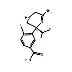 NC(=O)c1ccc(F)c([C@]2(C(F)F)CNCC(N)=N2)c1